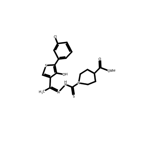 COC(=O)C1CCN(C(=S)NN=C(C)c2csc(-c3cccc(Cl)c3)c2O)CC1